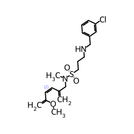 C=C(/C=C\C(=C)OC)CN(C)S(=O)(=O)CCCNCc1cccc(Cl)c1